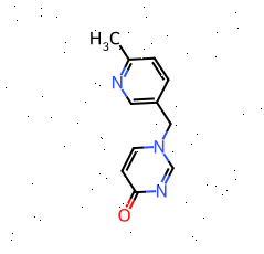 Cc1ccc(Cn2ccc(=O)nc2)cn1